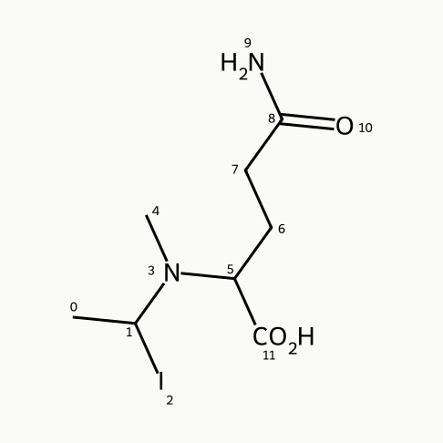 CC(I)N(C)C(CCC(N)=O)C(=O)O